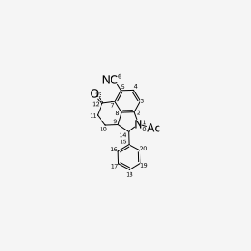 CC(=O)N1c2ccc(C#N)c3c2C(CCC3=O)C1c1ccccc1